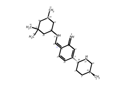 C[C@H]1CC[C@H](C2=CC(=N)/C(=C\NC3CN(C)CC(C)(C)C3)C=C2)NC1